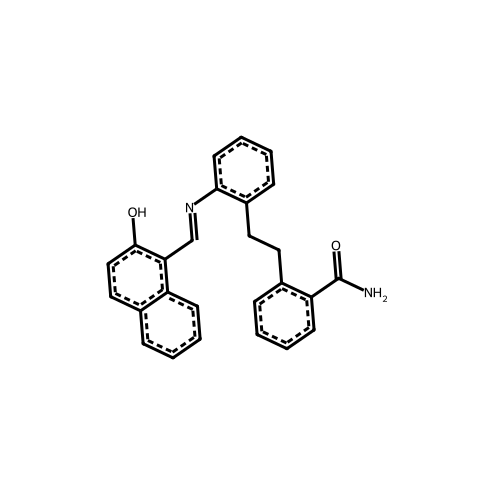 NC(=O)c1ccccc1CCc1ccccc1N=Cc1c(O)ccc2ccccc12